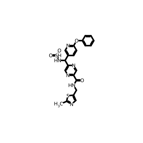 Cc1ncc(CNC(=O)c2cnc(C(N[SH](=O)=O)c3ccc(Oc4ccccc4)nc3)cn2)s1